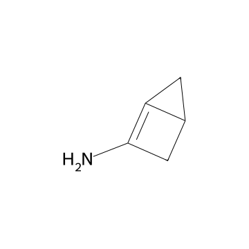 NC1=C2CC2C1